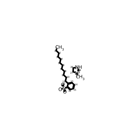 CCCCCCCCCCCCc1ccccc1S(=O)(=O)[O-].C[N+]1=CNCC1